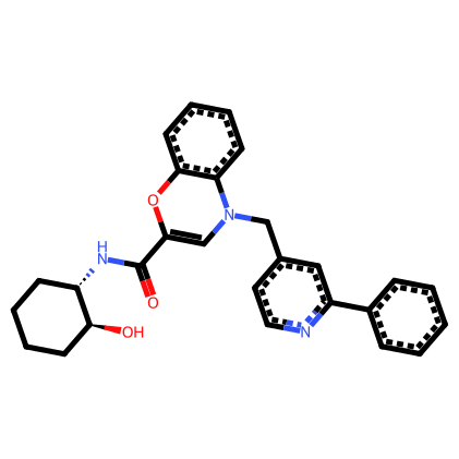 O=C(N[C@H]1CCCC[C@@H]1O)C1=CN(Cc2ccnc(-c3ccccc3)c2)c2ccccc2O1